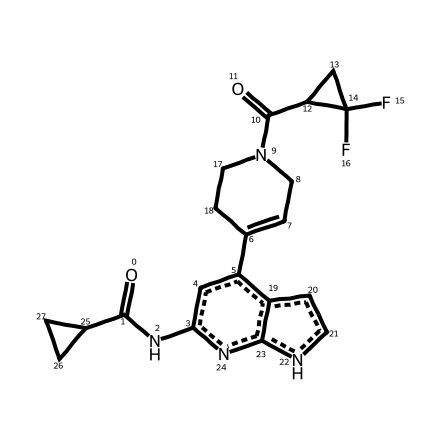 O=C(Nc1cc(C2=CCN(C(=O)C3CC3(F)F)CC2)c2cc[nH]c2n1)C1CC1